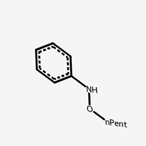 CCCCCONc1ccccc1